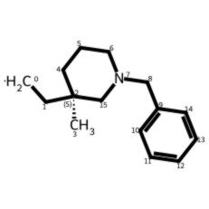 [CH2]C[C@@]1(C)CCCN(Cc2ccccc2)C1